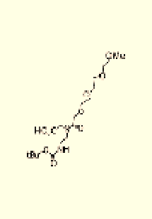 COCCOCCOCCOCC(=O)N(CCNC(=O)OC(C)(C)C)CC(=O)O